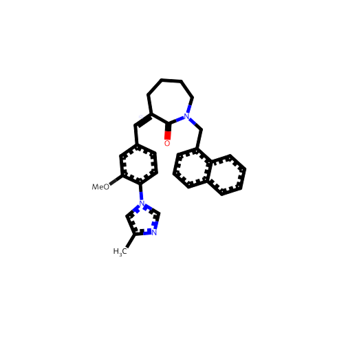 COc1cc(/C=C2/CCCCN(Cc3cccc4ccccc34)C2=O)ccc1-n1cnc(C)c1